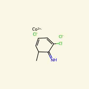 CC1C=CC=C(Cl)C1=N.[Cl-].[Cl-].[Co+2]